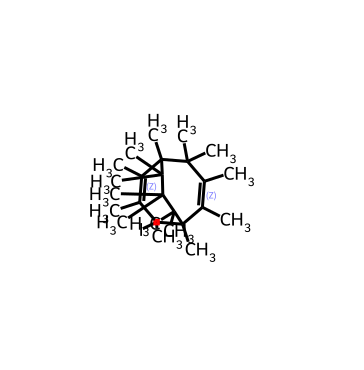 C/C1=C(\C)C2(C)C(C)(I)/C(C)=C(/C)C(C)(C1(C)C)C(C)(C)C(C)(C)C2(C)C